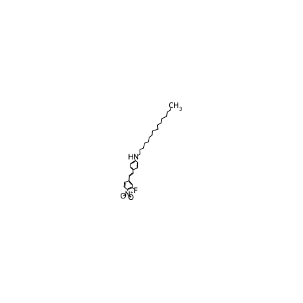 CCCCCCCCCCCCCCCCNc1ccc(C=Cc2ccc([N+](=O)[O-])c(F)c2)cc1